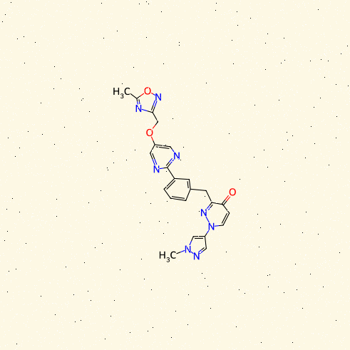 Cc1nc(COc2cnc(-c3cccc(Cc4nn(-c5cnn(C)c5)ccc4=O)c3)nc2)no1